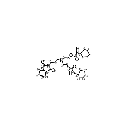 O=C(NC1CCCCC1)OCCN(CCCN1C(=O)c2ccccc2C1=O)CCOC(=O)NC1CCCCC1